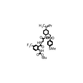 CSc1ccc(S(=O)(=O)C[C@@H]2C[C@H](N(C)C(C)C)CC[C@@H]2NC(=O)CNC(=O)c2cc(C(F)(F)F)ccc2NC(=O)OC(C)(C)C)cc1